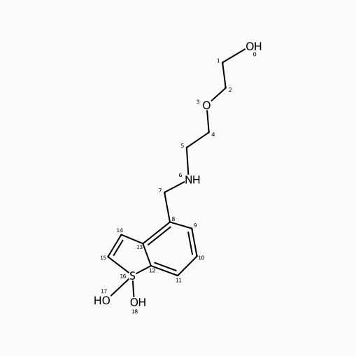 OCCOCCNCc1cccc2c1C=CS2(O)O